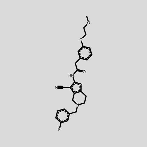 COCCOc1cccc(CC(=O)Nc2sc3c(c2C#N)CN(Cc2cccc(F)c2)CC3)c1